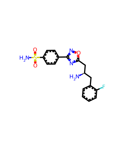 N[C@@H](Cc1nc(-c2ccc(S(N)(=O)=O)cc2)no1)Cc1ccccc1F